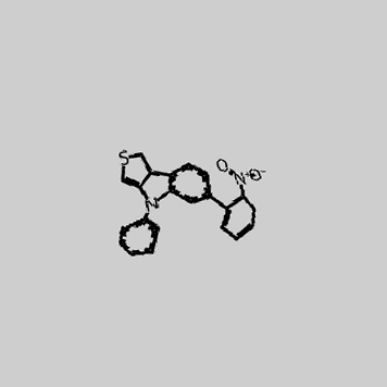 O=[N+]([O-])C1CC=CC=C1c1ccc2c(c1)N(c1ccccc1)C1=CSCC12